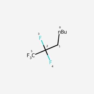 CCCCCC(F)(F)C(F)(F)F